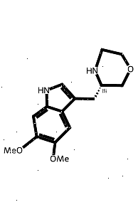 COc1cc2[nH]cc(C[C@H]3COCCN3)c2cc1OC